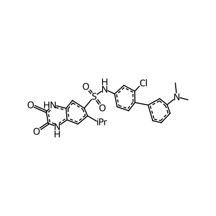 CC(C)c1cc2[nH]c(=O)c(=O)[nH]c2cc1S(=O)(=O)Nc1ccc(-c2cccc(N(C)C)c2)c(Cl)c1